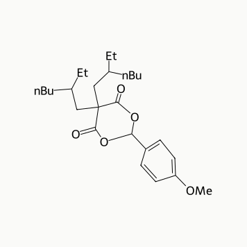 CCCCC(CC)CC1(CC(CC)CCCC)C(=O)OC(c2ccc(OC)cc2)OC1=O